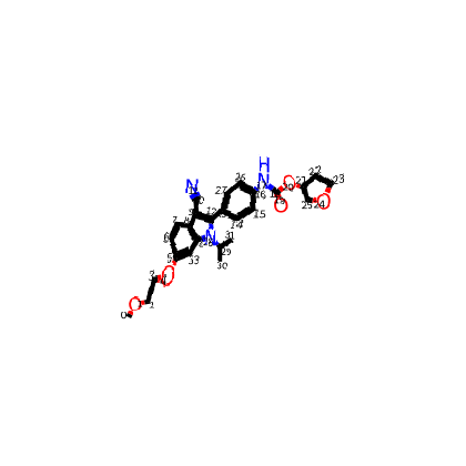 COCCOc1ccc2c(C#N)c(-c3ccc(NC(=O)OC4CCOC4)cc3)n(C(C)C)c2c1